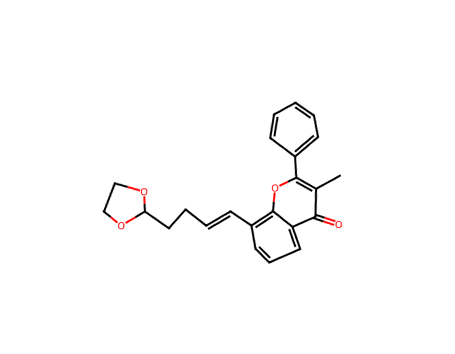 Cc1c(-c2ccccc2)oc2c(/C=C/CCC3OCCO3)cccc2c1=O